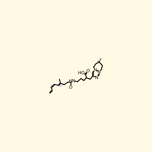 C=C/C=C\C=C(/C)CCC(NCCCC(CC1=CN2CC[C@@H](C)CCN2C=N1)C(=O)O)OC